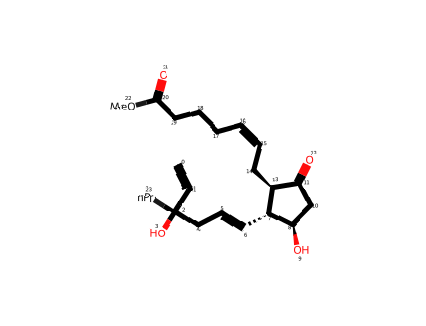 C=CC(O)(C/C=C/[C@H]1[C@H](O)CC(=O)[C@@H]1C/C=C\CCCC(=O)OC)CCC